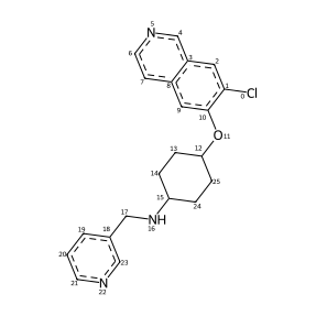 Clc1cc2cnccc2cc1OC1CCC(NCc2cccnc2)CC1